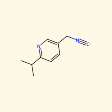 [C-]#[N+]Cc1ccc(C(C)C)nc1